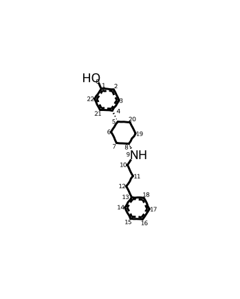 Oc1ccc([C@H]2CC[C@@H](NCCCc3ccccc3)CC2)cc1